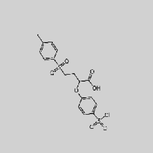 Cc1ccc(S(=O)(=O)CCC(Oc2ccc(S(=O)(=O)Cl)cc2)C(=O)O)cc1